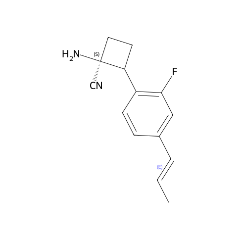 C/C=C/c1ccc(C2CC[C@@]2(N)C#N)c(F)c1